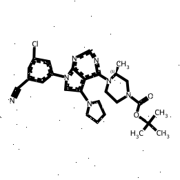 C[C@H]1CN(C(=O)OC(C)(C)C)CCN1c1ncnc2c1c(N1CCCC1)cn2-c1cc(Cl)cc(C#N)c1